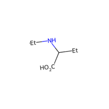 C[CH]NC(CC)C(=O)O